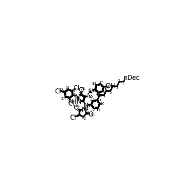 CCCCCCCCCCCCCCCCC=Cc1cccc(N(c2[nH]n(-c3c(Cl)cc(Cl)cc3Cl)c(=O)c2N=Nc2ccc(O)cc2)N2C(=O)CC(Cl)C2=O)c1